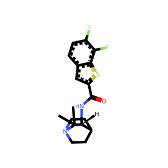 CC1(C)[C@H](NC(=O)c2cc3ccc(F)c(F)c3s2)C2CCN1CC2